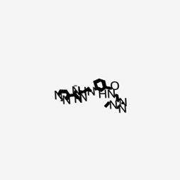 CCn1cnnc1CNC(=O)c1cccc(NCc2nnc(-c3ccncn3)n2C)c1